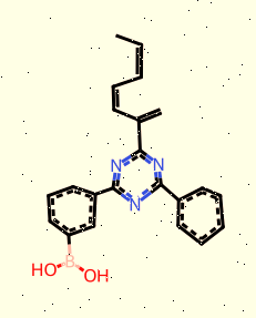 C=C(/C=C\C=C/C)c1nc(-c2ccccc2)nc(-c2cccc(B(O)O)c2)n1